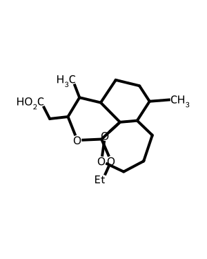 CCOC1OC(CC(=O)O)C(C)C2CCC(C)C3CCCOOC132